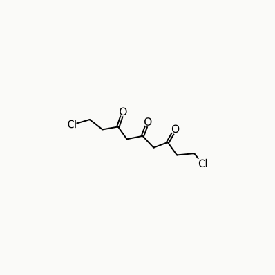 O=C(CCCl)CC(=O)CC(=O)CCCl